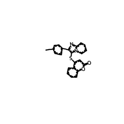 Cc1ccc(-c2nc3ccccn3c2Sc2cc(=O)oc3ccccc23)cc1